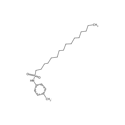 [CH2]c1ccc(NS(=O)(=O)CCCCCCCCCCCCCCCC)cc1